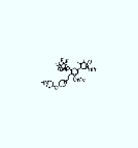 CCCn1cc(-c2cc(OC)c(CCN3CCC(OC4CCNCC4)CC3)c(OC)c2)c(C)c(C)c1=O.O=C(O)C(F)(F)F